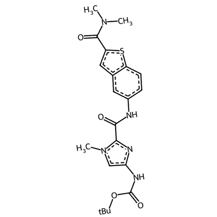 CN(C)C(=O)c1cc2cc(NC(=O)c3nc(NC(=O)OC(C)(C)C)cn3C)ccc2s1